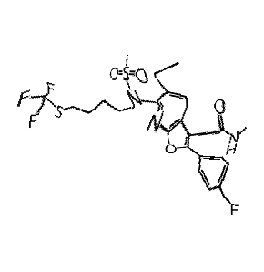 CCc1cc2c(C(=O)NC)c(-c3ccc(F)cc3)oc2nc1N(CCCCSC(F)(F)F)S(C)(=O)=O